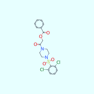 O=C(OCC(=O)N1CCN(S(=O)(=O)c2c(Cl)cccc2Cl)CC1)c1ccccc1